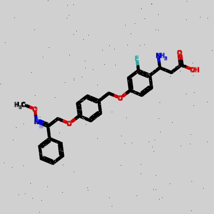 CO/N=C(\COc1ccc(COc2ccc(C(N)CC(=O)O)c(F)c2)cc1)c1ccccc1